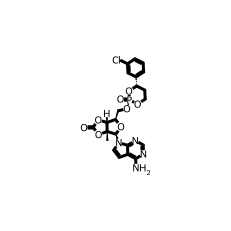 C[C@@]12OC(=O)O[C@@H]1[C@@H](CO[P@@]1(=O)OCC[C@@H](c3cccc(Cl)c3)O1)O[C@H]2n1ccc2c(N)ncnc21